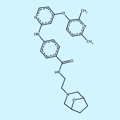 Cc1ccc(Oc2ccnc(Nc3ccc(C(=O)NCCN4CC5CCC(C4)O5)cc3)c2)c(C)n1